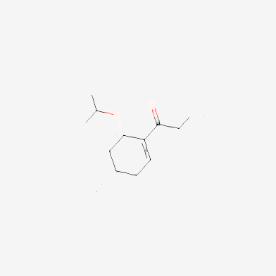 CCC(=O)C1=CC[C@H](I)C[C@@H]1OC(C)C